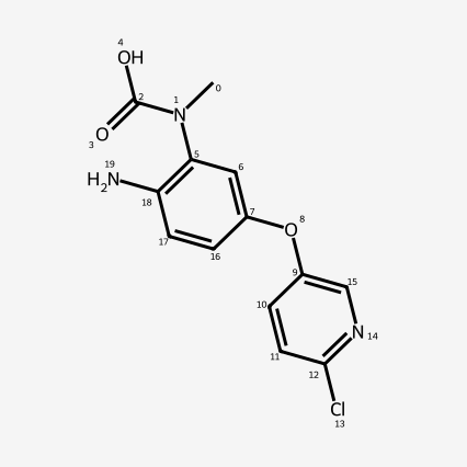 CN(C(=O)O)c1cc(Oc2ccc(Cl)nc2)ccc1N